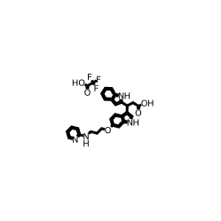 O=C(O)C(F)(F)F.O=C(O)CC(c1cc2ccccc2[nH]1)c1c[nH]c2cc(OCCCNc3ccccn3)ccc12